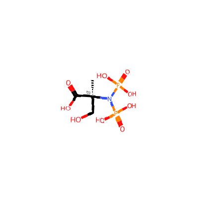 C[C@](CO)(C(=O)O)N(P(=O)(O)O)P(=O)(O)O